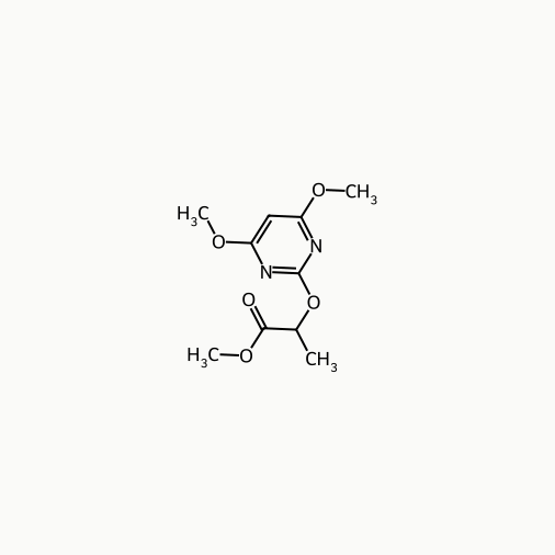 COC(=O)C(C)Oc1nc(OC)cc(OC)n1